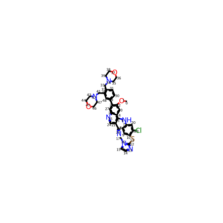 COc1cc2c(Nc3ccc(Sc4nccn4C)c(Cl)c3)c(C#N)cnc2cc1-c1ccc(CN2CCOCC2)c(CN2CCOCC2)c1